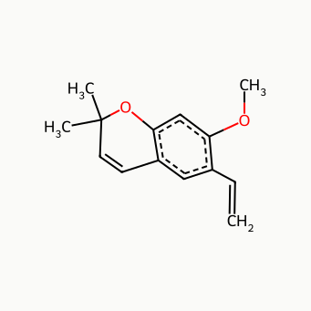 C=Cc1cc2c(cc1OC)OC(C)(C)C=C2